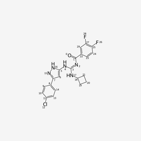 O=C(/N=C(\Nc1cc(-c2ccc(Cl)cc2)n[nH]1)NC1CCC1)c1ccc(F)c(F)c1